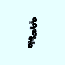 O=C(c1cccc(Nc2ccccc2)n1)N1CCC2(CCN(C(=O)c3cccc(-c4nc5ccccc5[nH]4)n3)CC2)C1